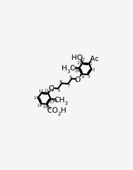 CC(=O)c1ccc(OCCCCOc2cccc(C(=O)O)c2C)c(C)c1O